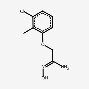 Cc1c(Cl)cccc1OCC(N)=NO